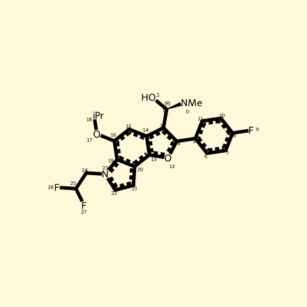 CN[C@H](O)c1c(-c2ccc(F)cc2)oc2c1cc(OC(C)C)c1c2ccn1CC(F)F